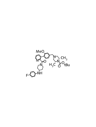 COc1cc(CN2C[C@@H](C)N(C(=O)OC(C)(C)C)[C@@H](C)C2)ccc1-c1cccnc1C(=O)N1CCC(Nc2ccc(F)cc2)CC1